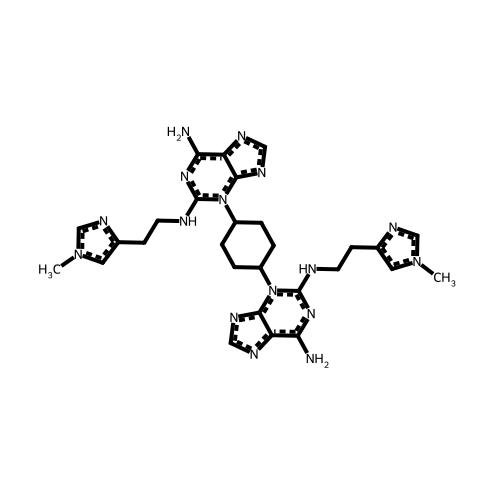 Cn1cnc(CCNc2nc(N)c3ncnc-3n2C2CCC(n3c(NCCc4cn(C)cn4)nc(N)c4ncnc3-4)CC2)c1